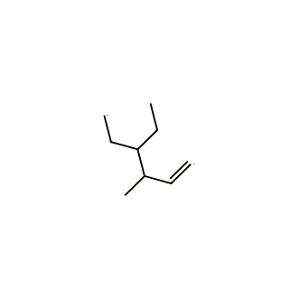 [CH]=CC(C)C(C[CH2])CC